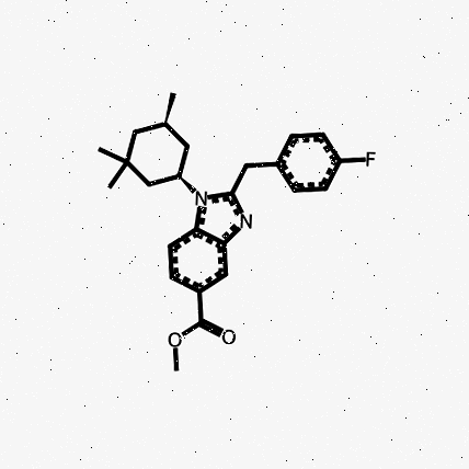 COC(=O)c1ccc2c(c1)nc(Cc1ccc(F)cc1)n2[C@@H]1C[C@H](C)CC(C)(C)C1